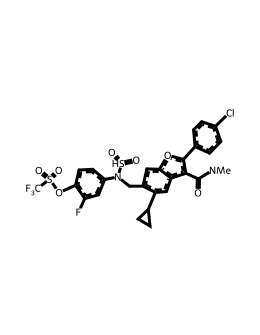 CNC(=O)c1c(-c2ccc(Cl)cc2)oc2cc(CN(c3ccc(OS(=O)(=O)C(F)(F)F)c(F)c3)[SH](=O)=O)c(C3CC3)cc12